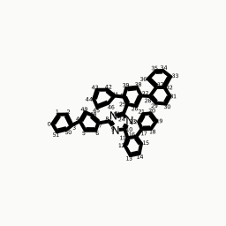 c1ccc(-c2ccc(-c3nc(-c4ccccc4-c4ccccc4)nc(-c4cc(-c5cccc6ccccc56)ccc4-c4ccccc4)n3)cc2)cc1